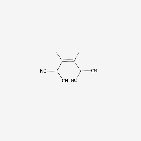 CC(=C(C)C(C#N)C#N)C(C#N)C#N